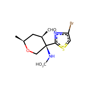 C[C@H]1C[C@@H](C=O)[C@](NC(=O)O)(c2nc(Br)cs2)CO1